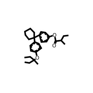 CCC(C)C(=O)Oc1ccc(C2(c3ccc(OC(C)(CC)CC)cc3)CCCCC2)cc1